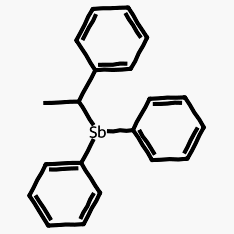 C[CH](c1ccccc1)[Sb]([c]1ccccc1)[c]1ccccc1